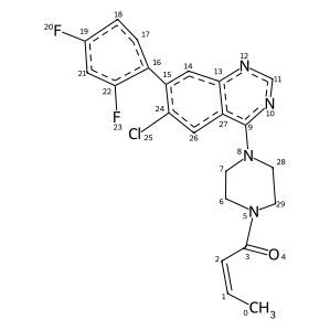 C/C=C\C(=O)N1CCN(c2ncnc3cc(-c4ccc(F)cc4F)c(Cl)cc23)CC1